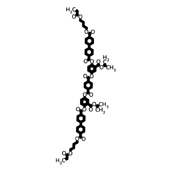 C=CC(=O)OCCCCOC(=O)C1CCC(C2CCC(C(=O)Oc3ccc(OC(=O)C4CCC(C(=O)Oc5ccc(OC(=O)C6CCC(C7CCC(C(=O)OCCCCOC(=O)C=C)CC7)CC6)c(C(=O)OC(=C)C)c5)CC4)cc3C(=O)OC(=C)C)CC2)CC1